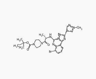 CC(Nc1nc2c(Br)cccc2c2nc(-c3cnn(C)c3)nn12)C(=O)N1CCN(C(=O)OC(C)(C)C)CC1